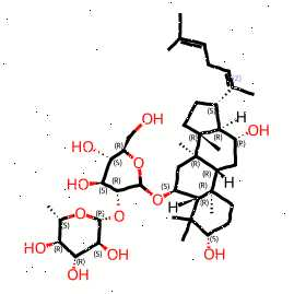 CC(C)=CC/C=C(/C)[C@H]1CC[C@]2(C)[C@@H]1[C@H](O)C[C@@H]1[C@@]3(C)CC[C@H](O)C(C)(C)[C@@H]3[C@@H](OC3O[C@H](CO)[C@@H](O)[C@H](O)[C@H]3O[C@H]3O[C@@H](C)[C@H](O)[C@@H](O)[C@@H]3O)C[C@]12C